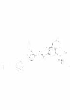 Cc1ccc(Cc2nc(C)c(NC(=O)c3cc(C(N)=O)c4ccccc4n3)s2)cc1